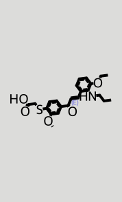 CCCNc1c(/C=C/C(=O)c2ccc(SCC(=O)O)c(OC)c2)cccc1OCC